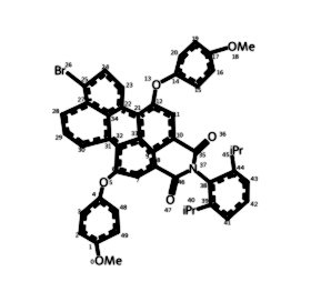 COc1ccc(Oc2cc3c4c(cc(Oc5ccc(OC)cc5)c5c6ccc(Br)c7cccc(c2c45)c76)C(=O)N(c2c(C(C)C)cccc2C(C)C)C3=O)cc1